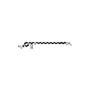 CCCCCCCCCCCCCCCCCCSCC(O)CN1CCN(N)CC1